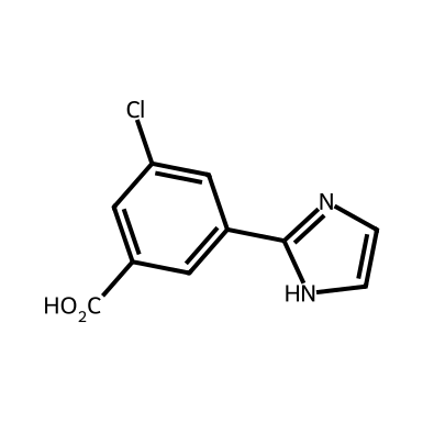 O=C(O)c1cc(Cl)cc(-c2ncc[nH]2)c1